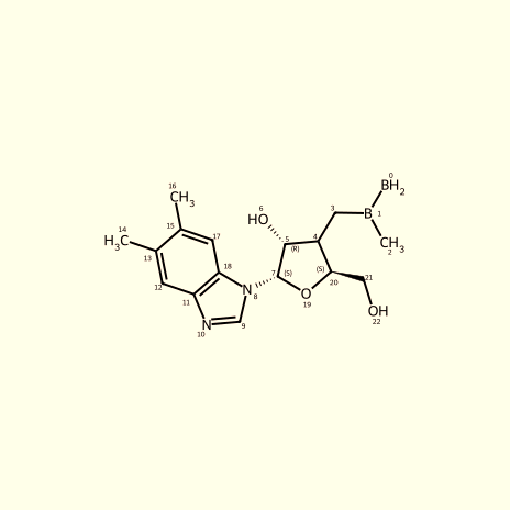 BB(C)CC1[C@@H](O)[C@@H](n2cnc3cc(C)c(C)cc32)O[C@@H]1CO